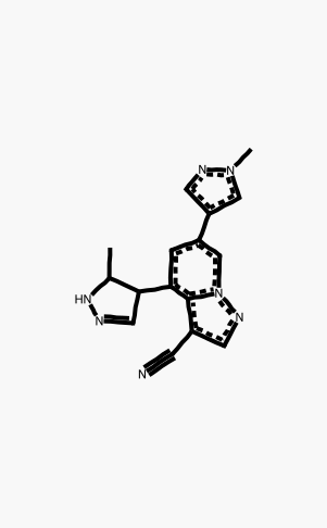 CC1NN=CC1c1cc(-c2cnn(C)c2)cn2ncc(C#N)c12